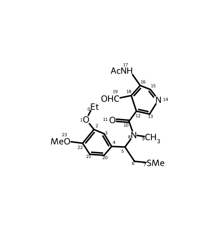 CCOc1cc(C(CSC)N(C)C(=O)c2cncc(NC(C)=O)c2C=O)ccc1OC